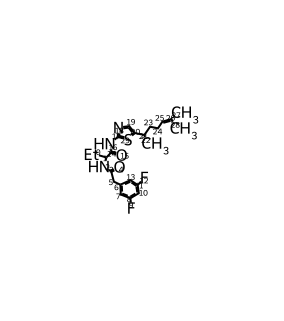 CCC(NC(=O)Cc1cc(F)cc(F)c1)C(=O)Nc1ncc(C(C)CCC=C(C)C)s1